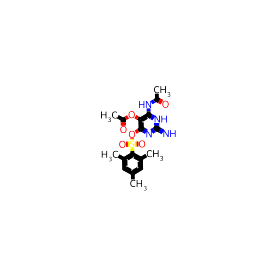 CC(=O)Nc1[nH]c(=N)nc(OS(=O)(=O)c2c(C)cc(C)cc2C)c1OC(C)=O